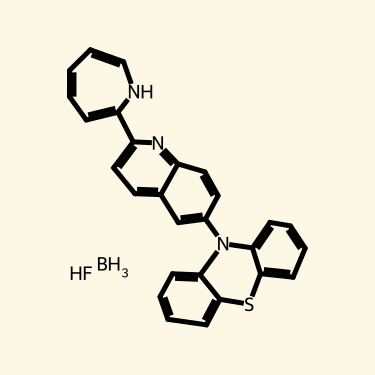 B.C1=CC=C(c2ccc3cc(N4c5ccccc5Sc5ccccc54)ccc3n2)NC=C1.F